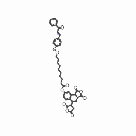 O=C1CC(C2CC3C(=O)OC(=O)C3c3cc(OC(=O)CCCCCCCCCOOc4ccc(/C=C/C(=O)c5ccccc5)cc4)ccc32)C(=O)O1